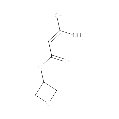 C/C(N)=C/C(=O)OC1COC1